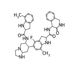 Cc1cccc2c1NC(C(=O)NC1CN3CCNC3CC1c1cc(C)c3c(c1F)CC(C(=O)NC1C(=O)NCc4ccccc41)N3)C2